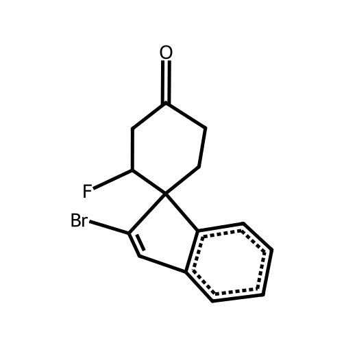 O=C1CCC2(C(Br)=Cc3ccccc32)C(F)C1